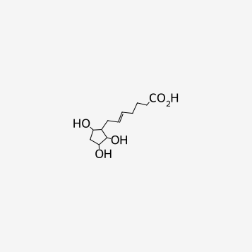 O=C(O)CCCC=CCC1C(O)CC(O)C1O